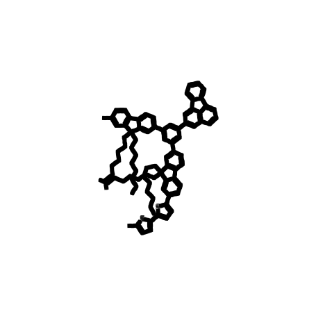 CCCCCCCCC1(CCCCCCCC)c2cc(C)ccc2-c2ccc(-c3cc(-c4ccc5c(c4)C(CCCCCCCC)(CCCCCCCC)c4cc(-c6ccc(-c7ccc(C)s7)s6)ccc4-5)cc(-c4cc5c6c(cccc6c4)-c4ccccc4-5)c3)cc21